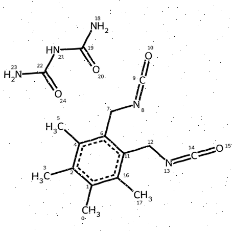 Cc1c(C)c(C)c(CN=C=O)c(CN=C=O)c1C.NC(=O)NC(N)=O